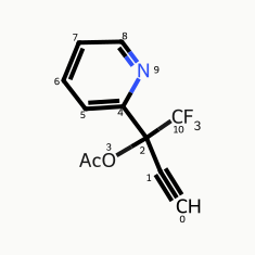 C#CC(OC(C)=O)(c1ccccn1)C(F)(F)F